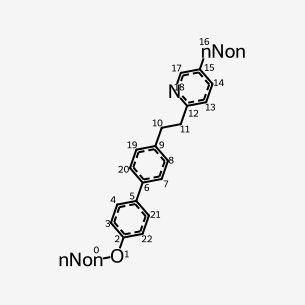 CCCCCCCCCOc1ccc(-c2ccc(CCc3ccc(CCCCCCCCC)cn3)cc2)cc1